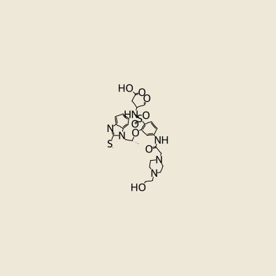 CSc1nc2ccccc2n1C[C@@H](C)Oc1cc(NC(=O)CN2CCN(CCO)CC2)ccc1S(=O)(=O)NC(C=O)CC(=O)O